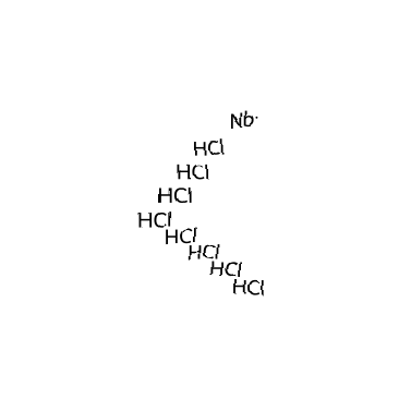 Cl.Cl.Cl.Cl.Cl.Cl.Cl.Cl.[Nb]